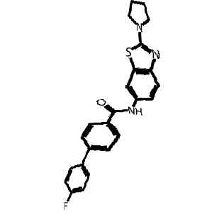 O=C(Nc1ccc2nc(N3CCCC3)sc2c1)c1ccc(-c2ccc(F)cc2)cc1